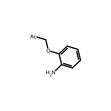 CC(=O)COc1ccccc1N